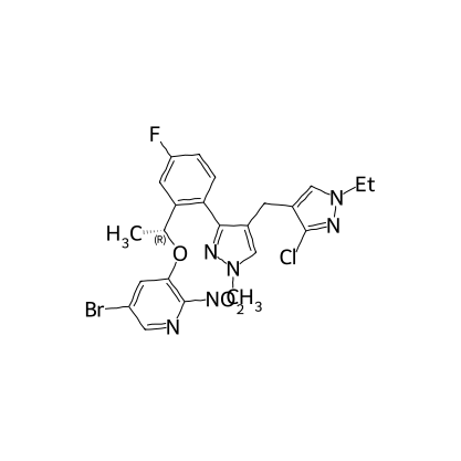 CCn1cc(Cc2cn(C)nc2-c2ccc(F)cc2[C@@H](C)Oc2cc(Br)cnc2[N+](=O)[O-])c(Cl)n1